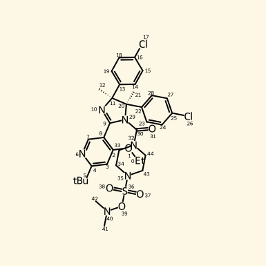 CCOc1cc(C(C)(C)C)ncc1C1=N[C@@](C)(c2ccc(Cl)cc2)[C@@](C)(c2ccc(Cl)cc2)N1C(=O)N1CCN(S(=O)(=O)ON(C)C)CC1